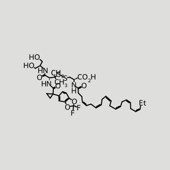 CC/C=C\C/C=C\C/C=C\C/C=C\C/C=C\C/C=C\CCC(=O)N[C@@H](CSSC(C)(C)[C@H](NC(=O)C1(c2ccc3c(c2)OC(F)(F)O3)CC1)C(=O)NC(CO)CO)C(=O)O